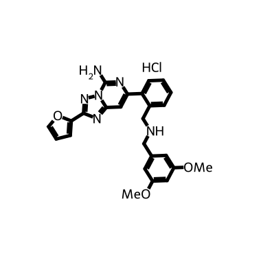 COc1cc(CNCc2ccccc2-c2cc3nc(-c4ccco4)nn3c(N)n2)cc(OC)c1.Cl